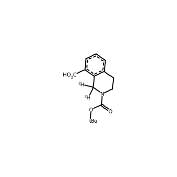 [2H]C1([2H])c2c(cccc2C(=O)O)CCN1C(=O)OC(C)(C)C